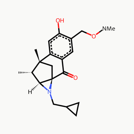 CNOCc1cc2c(cc1O)[C@]1(C)C[C@]3(C2=O)[C@H]([C@@H]1C)N3CC1CC1